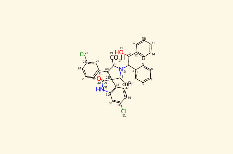 CCCC1N(C(c2ccccc2)C(O)c2ccccc2)C(C(=O)O)C(c2cccc(Cl)c2)C12C(=O)Nc1cc(Cl)ccc12